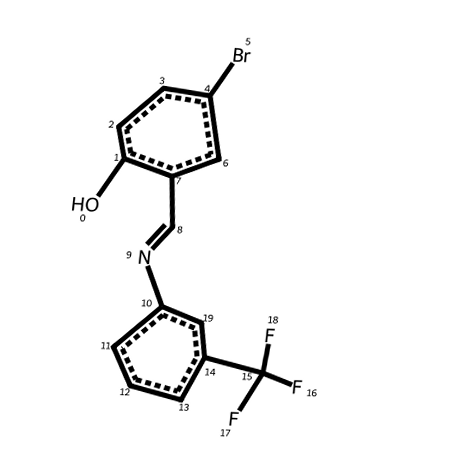 Oc1ccc(Br)cc1C=Nc1cccc(C(F)(F)F)c1